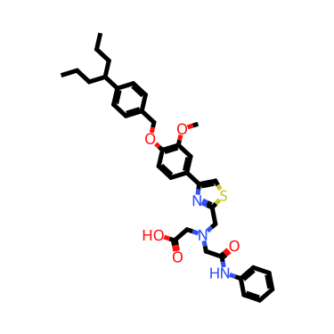 CCCC(CCC)c1ccc(COc2ccc(-c3csc(CN(CC(=O)O)CC(=O)Nc4ccccc4)n3)cc2OC)cc1